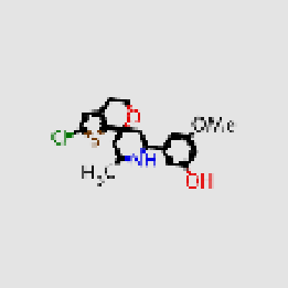 COc1cc(O)cc(C2CC3(CC(C)N2)OCCc2cc(Cl)sc23)c1